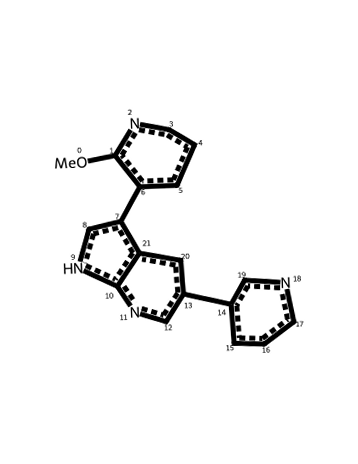 COc1ncccc1-c1c[nH]c2ncc(-c3cccnc3)cc12